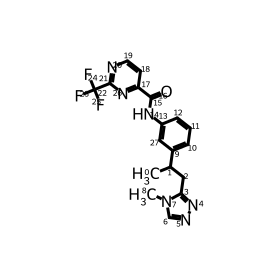 CC(Cc1nncn1C)c1cccc(NC(=O)c2ccnc(C(F)(F)F)n2)c1